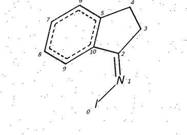 I/N=C1/CCc2ccccc21